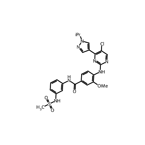 COc1cc(C(=O)Nc2cccc(NS(C)(=O)=O)c2)ccc1Nc1ncc(Cl)c(-c2cnn(C(C)C)c2)n1